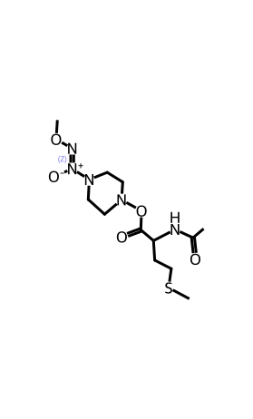 CO/N=[N+](\[O-])N1CCN(OC(=O)C(CCSC)NC(C)=O)CC1